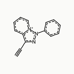 C#Cc1nn(-c2ccccc2)[n+]2ccccc12